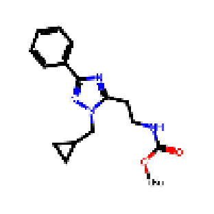 CC(C)(C)OC(=O)NCCc1nc(-c2ccccc2)nn1CC1CC1